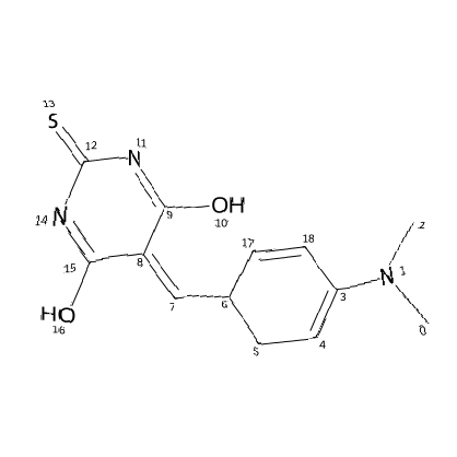 CN(C)C1=CCC(C=C2C(O)=NC(=S)N=C2O)C=C1